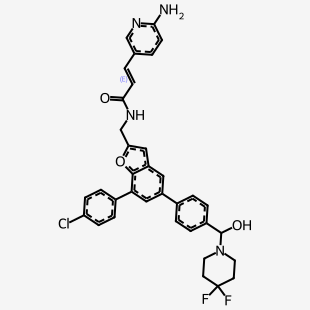 Nc1ccc(/C=C/C(=O)NCc2cc3cc(-c4ccc(C(O)N5CCC(F)(F)CC5)cc4)cc(-c4ccc(Cl)cc4)c3o2)cn1